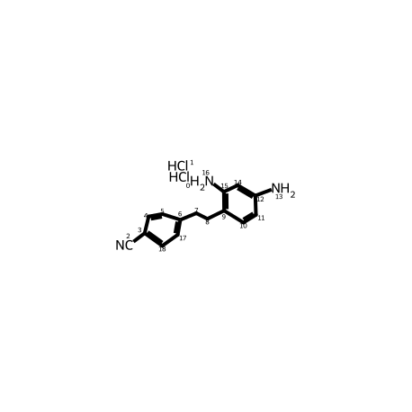 Cl.Cl.N#Cc1ccc(CCc2ccc(N)cc2N)cc1